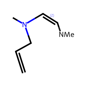 C=CCN(C)/C=C\NC